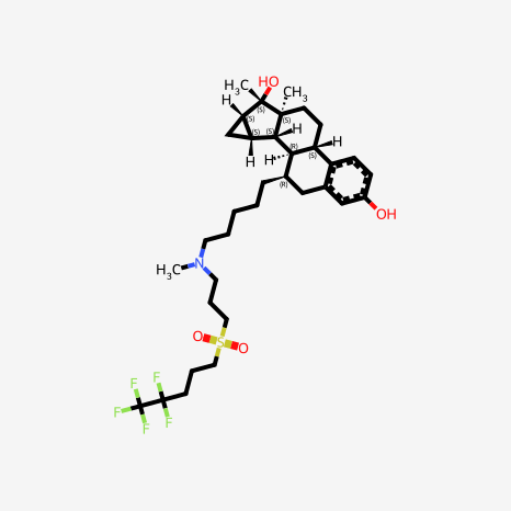 CN(CCCCC[C@@H]1Cc2cc(O)ccc2[C@H]2CC[C@@]3(C)[C@@H]([C@@H]4C[C@@H]4[C@]3(C)O)[C@H]12)CCCS(=O)(=O)CCCC(F)(F)C(F)(F)F